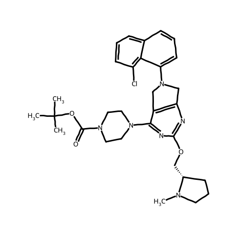 CN1CCC[C@H]1COc1nc2c(c(N3CCN(C(=O)OC(C)(C)C)CC3)n1)CN(c1cccc3cccc(Cl)c13)C2